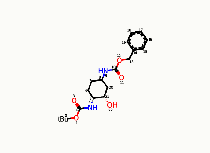 CC(C)(C)OC(=O)N[C@@H]1CC[C@@H](NC(=O)OCc2ccccc2)C[C@@H]1O